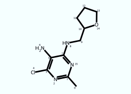 Cc1nc(Cl)c(N)c(NCC2CCCO2)n1